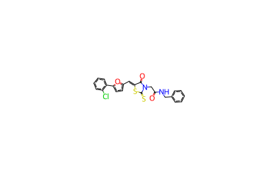 O=C(CN1C(=O)/C(=C/c2ccc(-c3ccccc3Cl)o2)SC1=S)NCc1ccccc1